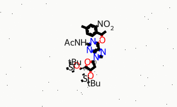 CC(=O)Nc1nc(OC(C)c2ccc(C)cc2[N+](=O)[O-])c2ncn([C@H]3CC(O[Si](C)(C)C(C)(C)C)[C@@H](CO[Si](C)(C)C(C)(C)C)O3)c2n1